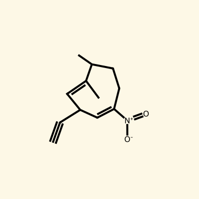 C#CC1/C=C(\C)C(C)CC/C([N+](=O)[O-])=C\1